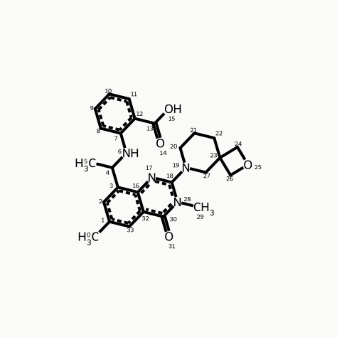 Cc1cc(C(C)Nc2ccccc2C(=O)O)c2nc(N3CCCC4(COC4)C3)n(C)c(=O)c2c1